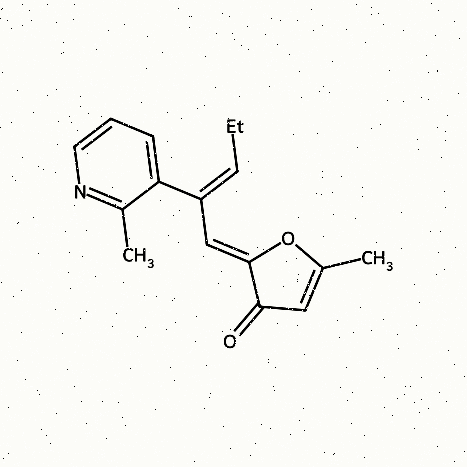 CC/C=C(/C=C1\OC(C)=CC1=O)c1cccnc1C